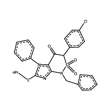 CCCSc1nc2c(n1-c1ccccc1)C(=O)C(c1ccc(Cl)cc1)S(=O)(=O)N2Cc1ccccc1